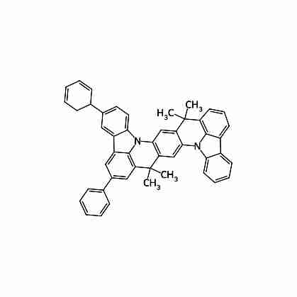 CC1(C)c2cc3c(cc2-n2c4ccccc4c4cccc1c42)C(C)(C)c1cc(-c2ccccc2)cc2c4cc(C5C=CC=CC5)ccc4n-3c12